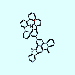 C=C(c1ccc2sc3ccccc3c2c1)c1ccccc1-c1cc(-c2ccc3c(c2)c2ccccc2n3-c2c(-c3ccccc3)cccc2C2C=CC=CC2)ccc1C